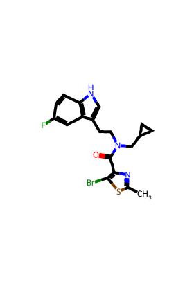 Cc1nc(C(=O)N(CCc2c[nH]c3ccc(F)cc23)CC2CC2)c(Br)s1